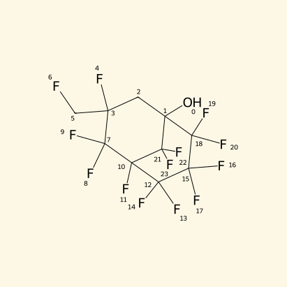 OC12CC(F)(CF)C(F)(F)C(F)(C(F)(F)C(F)(F)C1(F)F)C2(F)F